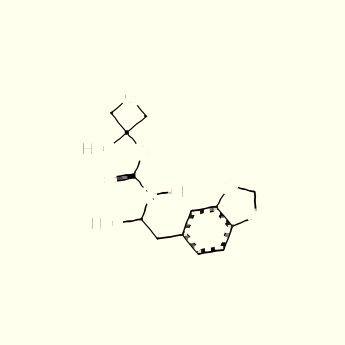 CC(Cc1ccc2c(c1)OCO2)N(C)C(=O)OC1(C)COC1